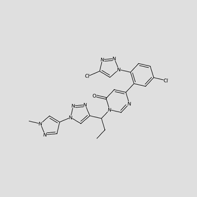 CCC(c1cn(-c2cnn(C)c2)nn1)n1cnc(-c2cc(Cl)ccc2-n2cc(Cl)nn2)cc1=O